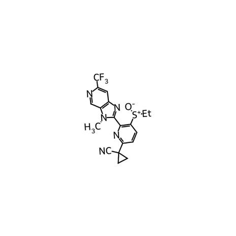 CC[S+]([O-])c1ccc(C2(C#N)CC2)nc1-c1nc2cc(C(F)(F)F)ncc2n1C